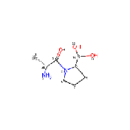 CC(C)[C@@H](N)C(=O)N1CCCC1B(O)O